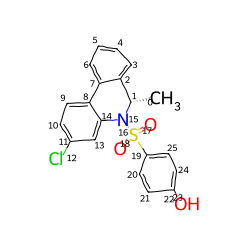 C[C@H]1c2ccccc2-c2ccc(Cl)cc2N1S(=O)(=O)c1ccc(O)cc1